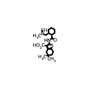 CN(C)CC1CCCCC1C(=O)Nc1sc2c(c1C(=O)O)CC(C)(C)CC2